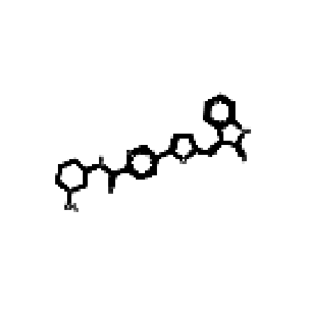 CN1CCCC(NC(=O)c2ccc(C3=CCC(/C=C4/C(=O)Nc5ccccc54)O3)cn2)C1